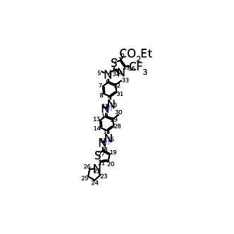 CCOC(=O)c1sc(N(C)c2ccc(/N=N/c3ccc(/N=N/c4ccc(N5CCCC5)s4)cc3C)cc2C)nc1C(F)(F)F